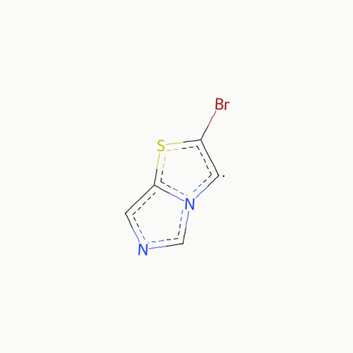 Brc1[c]n2cncc2s1